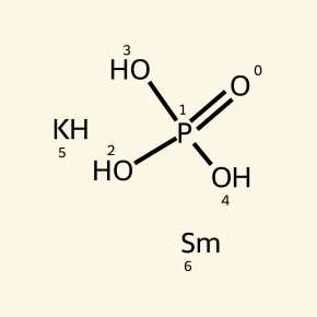 O=P(O)(O)O.[KH].[Sm]